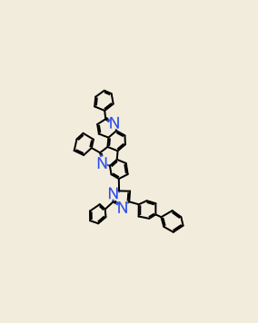 c1ccc(-c2ccc(-c3cc(-c4ccc5c(c4)nc(-c4ccccc4)c4c6ccc(-c7ccccc7)nc6ccc54)nc(-c4ccccc4)n3)cc2)cc1